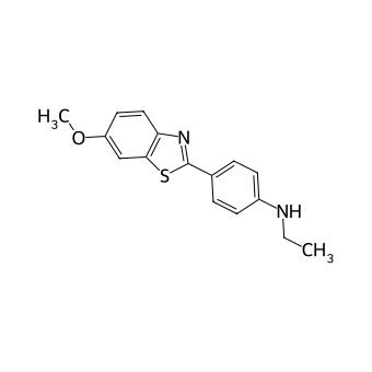 CCNc1ccc(-c2nc3ccc(OC)cc3s2)cc1